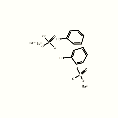 O=P([O-])([O-])[O-].O=P([O-])([O-])[O-].Oc1ccccc1.Oc1ccccc1.[Ba+2].[Ba+2].[Ba+2]